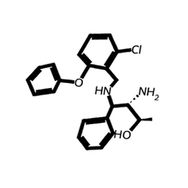 C[C@@H](O)[C@@H](N)C(NCc1c(Cl)cccc1Oc1ccccc1)c1ccccc1